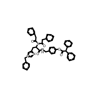 O=C(Oc1ccc(CNC(=O)C(Cc2cn(Cc3ccccc3)cn2)N(C(=O)Cc2ccccc2)C(=O)Cc2ccccc2)cc1)C(c1ccccc1)c1ccccc1